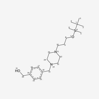 CC(C)(C)[Si](C)(C)OCCCN1CCN(Cc2ccc(CO)cc2)CC1